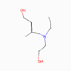 CCN(CCO)C(C)CCO